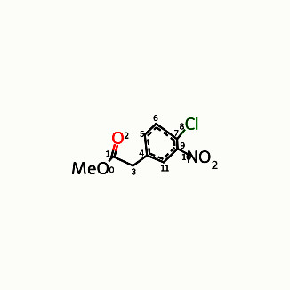 COC(=O)Cc1ccc(Cl)c([N+](=O)[O-])c1